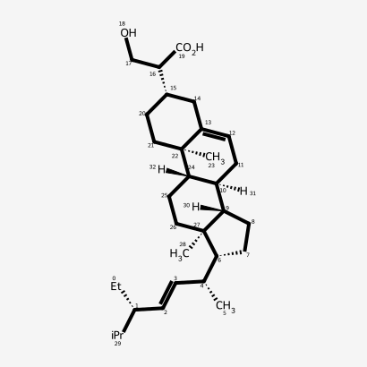 CC[C@H](/C=C/[C@@H](C)[C@H]1CC[C@H]2[C@@H]3CC=C4C[C@@H](C(CO)C(=O)O)CC[C@]4(C)[C@H]3CC[C@]12C)C(C)C